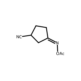 CC(=O)ON=C1CCC(C#N)C1